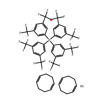 C1=C\CC/C=C\CC/1.C1=C\CC/C=C\CC/1.FC(F)(F)c1cc([B-](c2cc(C(F)(F)F)cc(C(F)(F)F)c2)(c2cc(C(F)(F)F)cc(C(F)(F)F)c2)c2cc(C(F)(F)F)cc(C(F)(F)F)c2)cc(C(F)(F)F)c1.[Rh]